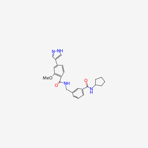 COc1cc(-c2cn[nH]c2)ccc1C(=O)NCc1cccc(C(=O)NC2CCCC2)c1